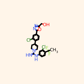 CC(F)(F)c1ccc(NC(=N)N2CC=C(c3ccc(-c4nnc(CO)o4)cc3Cl)CC2)cc1Cl